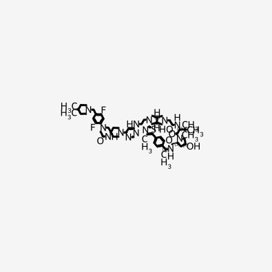 Cc1ncsc1-c1ccc([C@H](C)NC(=O)[C@@H]2C[C@@H](O)CN2C(=O)[C@@H](NC(O)CN2C[C@H]3CN(CCNc4cc(N5CCC6(CC5)CN(c5cc(F)c(CN7CCC(C)(C)CC7)cc5F)CC(=O)N6)ncn4)C[C@H]3C2)C(C)(C)C)cc1